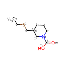 CCSC[C@H]1CCCN(C(=O)O)C1